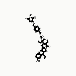 CCc1c2c(nc3ccc(O)cc13)-c1cc3c(c(=O)n1C2)COC(=O)C3(CC)OC(=O)OCc1ccc(CSC2CC(=O)N(C)C2=O)cc1